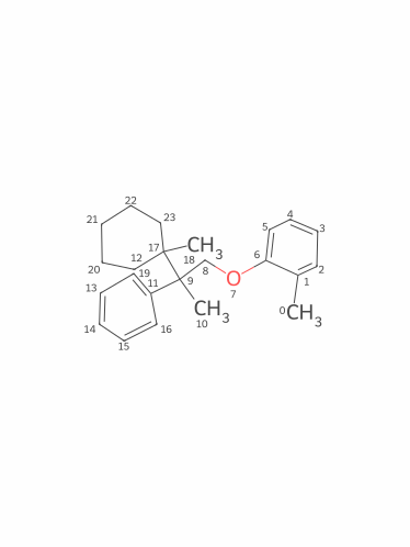 Cc1ccccc1OCC(C)(c1ccccc1)C1(C)CCCCC1